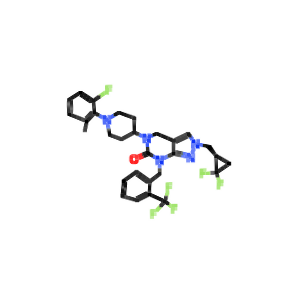 Cc1cccc(F)c1N1CCC(N2Cc3cn(C[C@H]4CC4(F)F)nc3N(Cc3ccccc3C(F)(F)F)C2=O)CC1